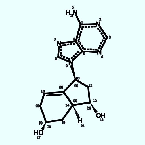 Nc1ncnc2c1ncn2[C@H]1C[C@H](O)[C@H]2C[C@H](O)CC=C21